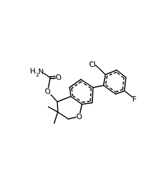 CC1(C)COc2cc(-c3cc(F)ccc3Cl)ccc2C1OC(N)=O